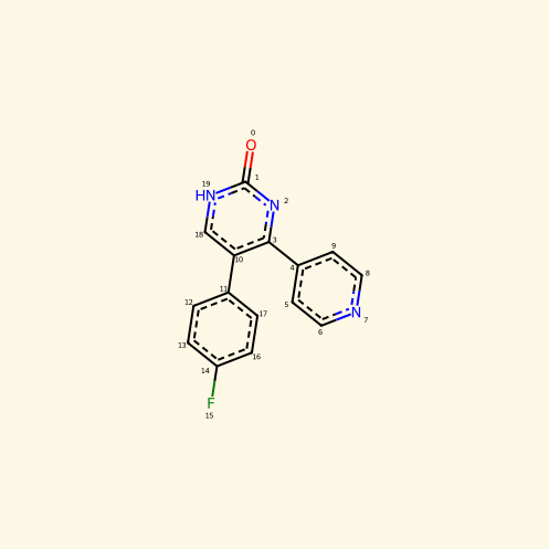 O=c1nc(-c2ccncc2)c(-c2ccc(F)cc2)c[nH]1